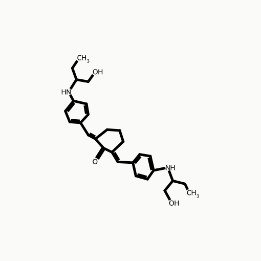 CCC(CO)Nc1ccc(C=C2CCCC(=Cc3ccc(NC(CC)CO)cc3)C2=O)cc1